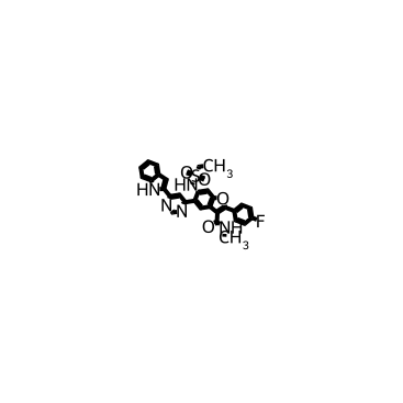 CCS(=O)(=O)Nc1cc2oc(-c3ccc(F)cc3)c(C(=O)NC)c2cc1-c1cc(-c2cc3ccccc3[nH]2)ncn1